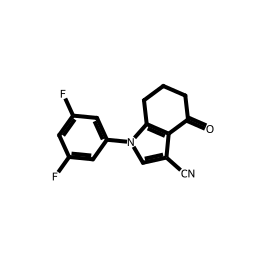 N#Cc1cn(-c2cc(F)cc(F)c2)c2c1C(=O)CCC2